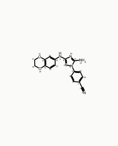 N#Cc1ccc(-n2nc(Nc3ccc4c(c3)OCCO4)nc2N)cc1